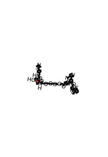 COc1cccc(F)c1-c1nccc(C(=O)Nc2ccc(-c3cnccc3C#N)cc2N2CCN(C(=O)CCOCCOCCOCCOCCC(=O)N[C@H](C(=O)N3C[C@H](O)C[C@H]3C(=O)NCc3ccc(-c4scnc4C)cc3)C(C)(C)C)CC2)n1